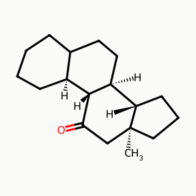 C[C@@]12CCC[C@H]1[C@@H]1CCC3CCCC[C@@H]3[C@H]1C(=O)C2